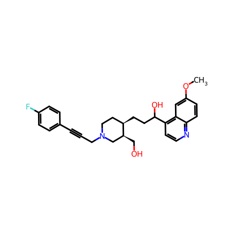 COc1ccc2nccc(C(O)CC[C@@H]3CCN(CC#Cc4ccc(F)cc4)C[C@@H]3CO)c2c1